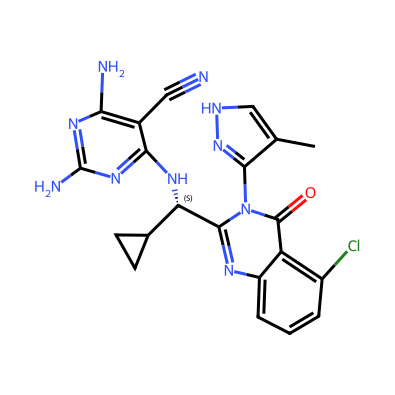 Cc1c[nH]nc1-n1c([C@@H](Nc2nc(N)nc(N)c2C#N)C2CC2)nc2cccc(Cl)c2c1=O